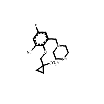 N#Cc1cc(F)cc(CN2CCNCC2)c1OCC1(C(=O)O)CC1